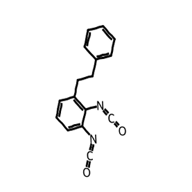 O=C=Nc1cccc(CCc2ccccc2)c1N=C=O